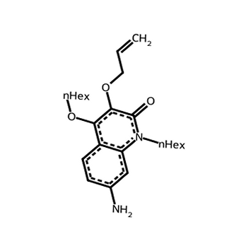 C=CCOc1c(OCCCCCC)c2ccc(N)cc2n(CCCCCC)c1=O